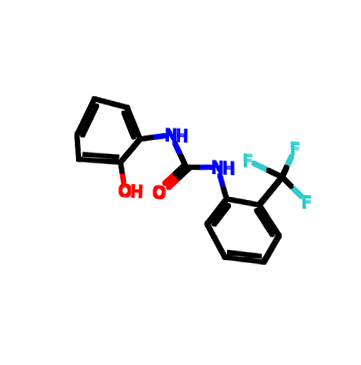 O=C(Nc1ccccc1O)Nc1ccccc1C(F)(F)F